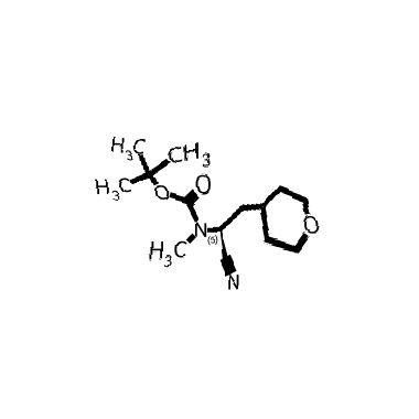 CN(C(=O)OC(C)(C)C)[C@H](C#N)CC1CCOCC1